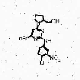 CCCc1cc(N2CCCC2CO)nc(Nc2ccc(Cl)c([N+](=O)[O-])c2)n1